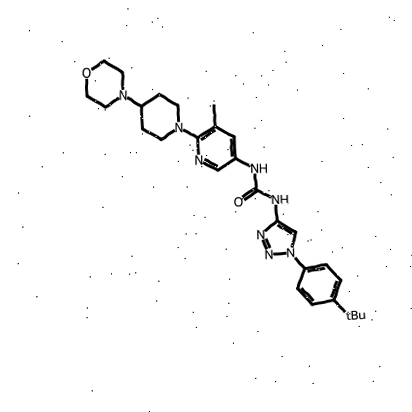 Cc1cc(NC(=O)Nc2cn(-c3ccc(C(C)(C)C)cc3)nn2)cnc1N1CCC(N2CCOCC2)CC1